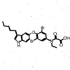 CCCCCc1c[nH]c2ccc(Oc3c(Br)cc(N(CC)C(=O)C(=O)O)cc3Br)cc12